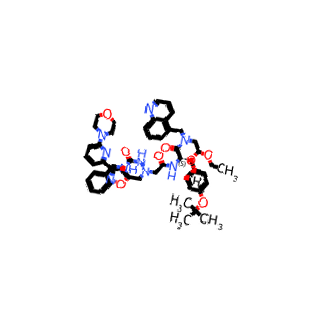 CCOC(CN(Cc1cccc2ncccc12)C(=O)[C@H](Cc1ccc(OC(C)(C)C)cc1)NC(=O)CN(Cc1cc(-c2cccc(N3CCOCC3)n2)no1)NC(=O)NCc1ccccc1)OCC